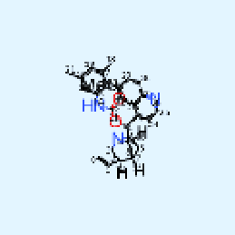 C=C[C@H]1CN2CC[C@H]1C[C@H]2[C@H](OC(=O)Nc1cc(C)cc(C)c1)c1ccnc2ccc(OC)cc12